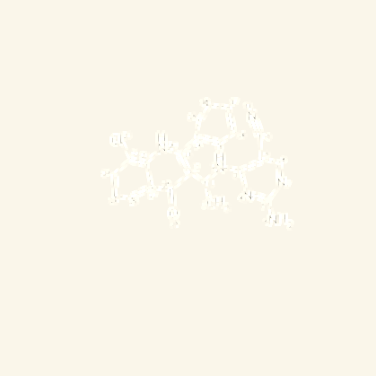 CC(Nc1nc(N)ncc1C#N)c1c(-c2ccccc2)[nH]c2c(Cl)cccc2c1=O